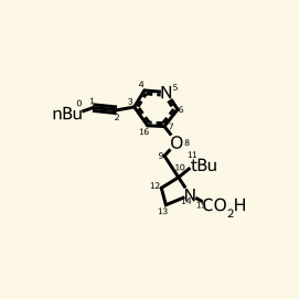 CCCCC#Cc1cncc(OCC2(C(C)(C)C)CCN2C(=O)O)c1